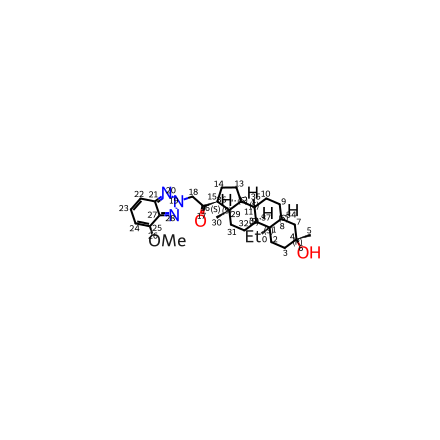 CC[C@]12CC[C@@](C)(O)C[C@@H]1CC[C@H]1[C@@H]3CC[C@H](C(=O)Cn4nc5cccc(OC)c5n4)[C@@]3(C)CC[C@@H]12